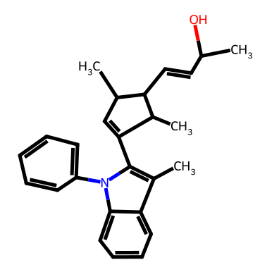 Cc1c(C2=CC(C)C(C=CC(C)O)C2C)n(-c2ccccc2)c2ccccc12